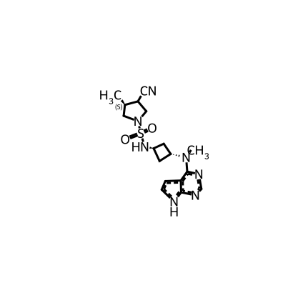 C[C@@H]1CN(S(=O)(=O)N[C@H]2C[C@@H](N(C)c3ncnc4[nH]ccc34)C2)CC1C#N